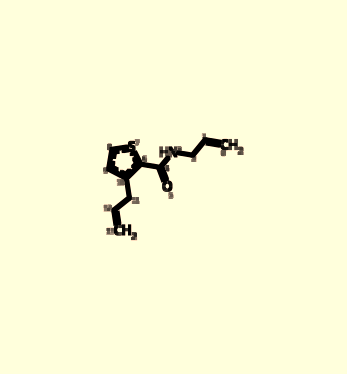 C=CCNC(=O)c1sccc1CC=C